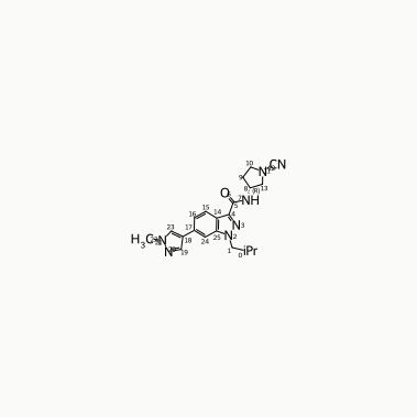 CC(C)Cn1nc(C(=O)N[C@@H]2CCN(C#N)C2)c2ccc(-c3cnn(C)c3)cc21